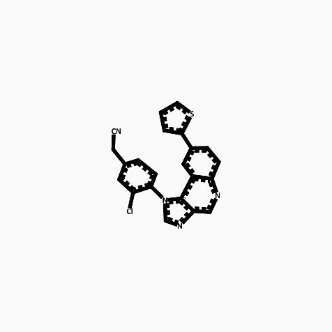 N#CCc1ccc(-n2cnc3cnc4ccc(-c5cccs5)cc4c32)c(Cl)c1